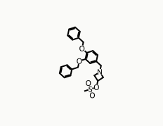 CS(=O)(=O)OC1CN(Cc2ccc(OCc3ccccc3)c(OCc3ccccc3)c2)C1